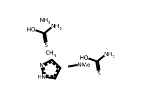 C.CNC.N.NC(O)=S.NC(O)=S.c1cn[nH]c1